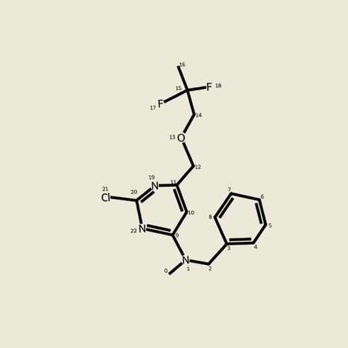 CN(Cc1ccccc1)c1cc(COCC(C)(F)F)nc(Cl)n1